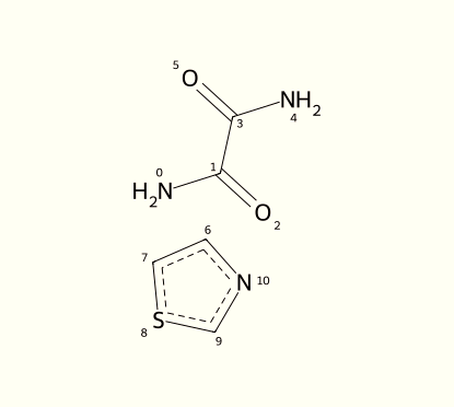 NC(=O)C(N)=O.c1cscn1